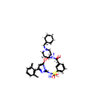 Cc1cccc(C)c1-c1cc2nc(n1)NS(=O)(=O)c1cccc(c1)C(=O)NC1(CCN(CC3CCCCC3)CC1)O2